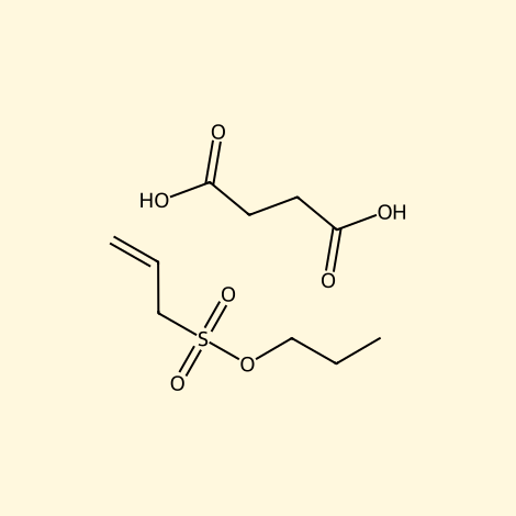 C=CCS(=O)(=O)OCCC.O=C(O)CCC(=O)O